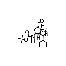 CCC(CC)C1=NO[C@H]2[C@@H]1[C@H](NC(=O)OC(C)(C)C)C[C@@H]2C=O